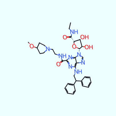 CCNC(=O)[C@H]1O[C@@H](n2cnc3c(NCC(c4ccccc4)c4ccccc4)nc(C(=O)NCCN4CCC(OC)CC4)nc32)[C@H](O)[C@@H]1O